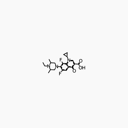 CCN1C(C)CN(c2c(F)cc3c(=O)c(C(=O)O)cn(C4CC4)c3c2F)CC1C